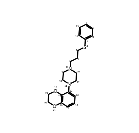 c1ccc(SCCCN2CCN(c3cccc4c3OCCO4)CC2)cc1